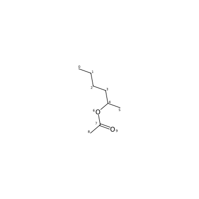 CCCCC(C)OC(C)=O